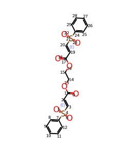 O=C(/C=C/S(=O)(=O)c1ccccc1)OCCOC(=O)/C=C/S(=O)(=O)c1ccccc1